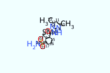 CSCc1c(C(=O)Nc2nc(C)cc(C)n2)cccc1S(N)(=O)=O